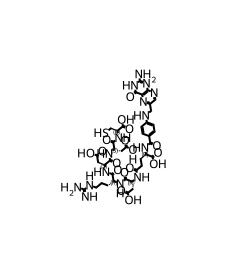 N=C(N)NCCC[C@@H](NC(=O)[C@@H](CC(=O)O)NC(=O)CC[C@@H](NC(=O)c1ccc(NCc2cnc3nc(N)[nH]c(=O)c3n2)cc1)C(=O)O)C(=O)N[C@@H](CC(=O)O)C(=O)N[C@@H](CC(=O)O)C(=O)N[C@@H](CS)C(=O)O